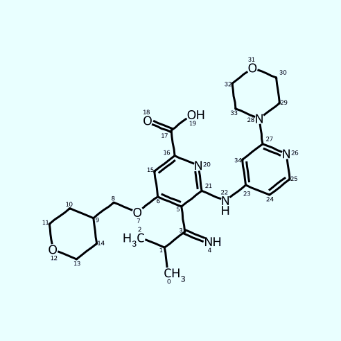 CC(C)C(=N)c1c(OCC2CCOCC2)cc(C(=O)O)nc1Nc1ccnc(N2CCOCC2)c1